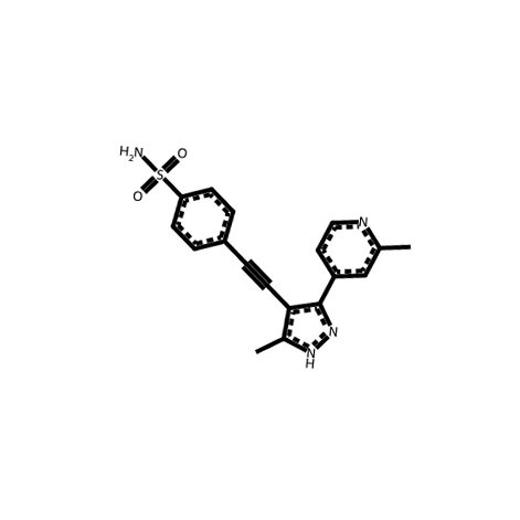 Cc1cc(-c2n[nH]c(C)c2C#Cc2ccc(S(N)(=O)=O)cc2)ccn1